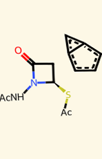 CC(=O)NN1C(=O)C[C@H]1SC(C)=O.c1cc2cc-2c1